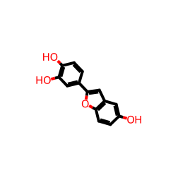 Oc1ccc2oc(-c3ccc(O)c(O)c3)cc2c1